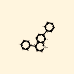 c1ccc(-c2ccc3c(-c4ccccc4)ccnc3c2)cc1